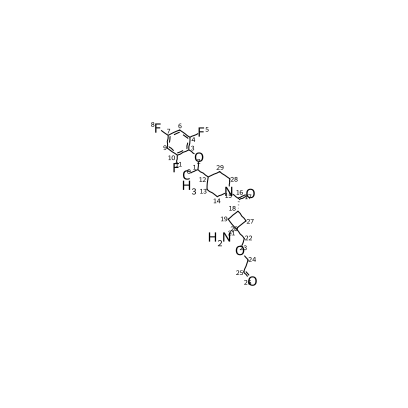 CC(Oc1c(F)cc(F)cc1F)C1CCN(C(=O)[C@H]2C[C@](N)(COCC=O)C2)CC1